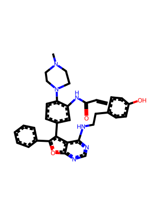 C=CC(=O)Nc1cc(-c2c(-c3ccccc3)oc3ncnc(NCCc4ccc(O)cc4)c23)ccc1N1CCN(C)CC1